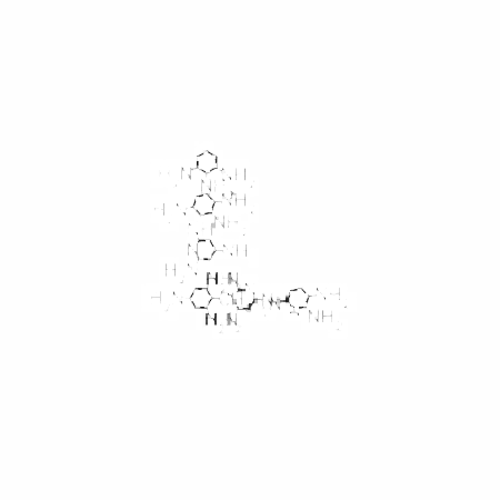 Cc1c(N)cc(N)cc1N.Nc1cc(N)nc(N)c1.Nc1cc(N)nc(N)n1.Nc1ccc(N)c(N)c1.Nc1ccc(N)c(N)n1.Nc1cccc(N)c1N